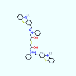 CCN1c2ccccc2Sc2cc(C=NN(CC(O)CSCC(O)CN(N=Cc3ccc4c(c3)Sc3ccccc3N4CC)c3ccccc3)c3ccccc3)ccc21